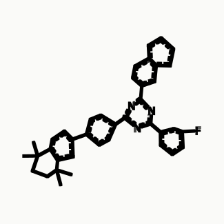 CC1(C)CCC(C)(C)c2cc(-c3ccc(-c4nc(-c5cccc(F)c5)nc(-c5ccc6ccccc6c5)n4)cc3)ccc21